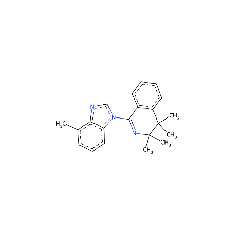 Cc1cccc2c1ncn2C1=NC(C)(C)C(C)(C)c2ccccc21